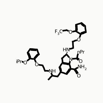 CCCC(=O)N1c2c(cc(CC(C)NCCOc3ccccc3OC(C)C)cc2C(N)=O)C[C@@H]1NCCOc1ccccc1OCC(F)(F)F